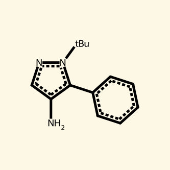 CC(C)(C)n1ncc(N)c1-c1ccccc1